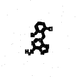 Nc1ncn(Cc2c(Cl)cccc2Br)c2ncnc1-2